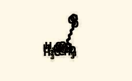 CC(C)(C)[Si](C)(C)O[C@H]1CC(=O)C=C1CCCCCCCOC1CCCCO1